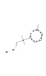 Cc1cccc(C(F)(F)CN=[N+]=[N-])n1